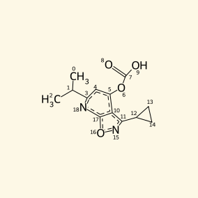 CC(C)c1cc(OC(=O)O)c2c(C3CC3)noc2n1